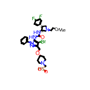 COCCN1C[C@@H](NC(=O)Nc2c(Br)c(COC3CCN(C[SH](=O)=O)CC3)nn2-c2ccccc2)[C@H](c2ccc(F)c(F)c2)C1